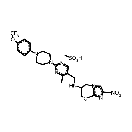 CS(=O)(=O)O.Cc1nc(N2CCN(c3ccc(OC(F)(F)F)cc3)CC2)ncc1CNC1COc2nc([N+](=O)[O-])cn2C1